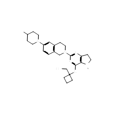 [O-][S@+]1CCc2nc(N3CCc4cc(N5CCC(F)CC5)ccc4C3)nc(NC3(CO)CCC3)c21